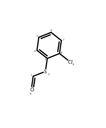 O=CSc1ccccc1Cl